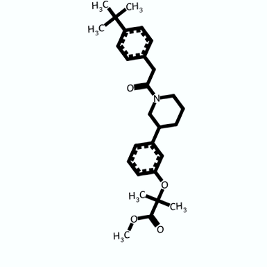 COC(=O)C(C)(C)Oc1cccc(C2CCCN(C(=O)Cc3ccc(C(C)(C)C)cc3)C2)c1